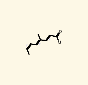 C\C=C/C=C(C)/C=C/C(=O)Cl